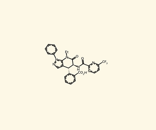 CCN1C(=O)[C@@H](NC(=O)c2nccc(C(F)(F)F)n2)[C@H](c2ccccc2C(=O)O)c2cnn(-c3ccccc3)c21